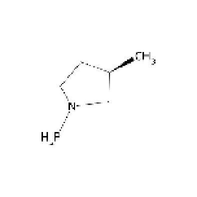 C[C@@H]1CCN(P)C1